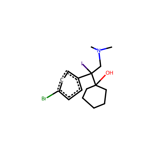 CN(C)CC(I)(c1ccc(Br)cc1)C1(O)CCCCC1